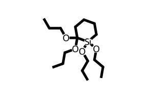 CCCOC1(OCCC)CCCC[Si]1(OCCC)OCCC